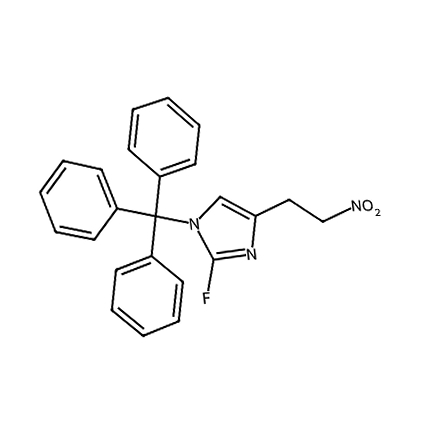 O=[N+]([O-])CCc1cn(C(c2ccccc2)(c2ccccc2)c2ccccc2)c(F)n1